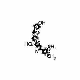 COc1ccc(C(C#N)=Cc2ccc(N3CCC(OC(=O)CN4CCC(O)CC4)CC3)s2)cc1OC.Cl